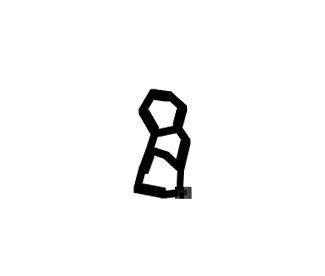 C1=CNC2=Cc3ccccc3C(=C1)C2